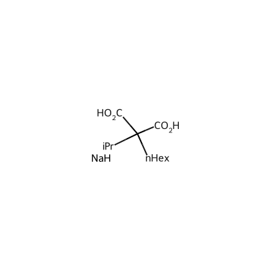 CCCCCCC(C(=O)O)(C(=O)O)C(C)C.[NaH]